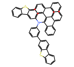 c1ccc(-c2ccccc2-c2c(N(c3cccc(-c4ccc5c(c4)sc4ccccc45)c3)c3ccc4sc5ccccc5c4c3)c3ccccc3c3ccccc23)cc1